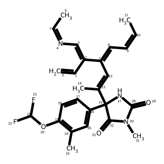 C=CC(=C\N=C/C)/C(=C/C=C\C)/C=C(\C)C1(c2ccc(OC(F)F)c(C)c2)NC(=O)N(C)C1=O